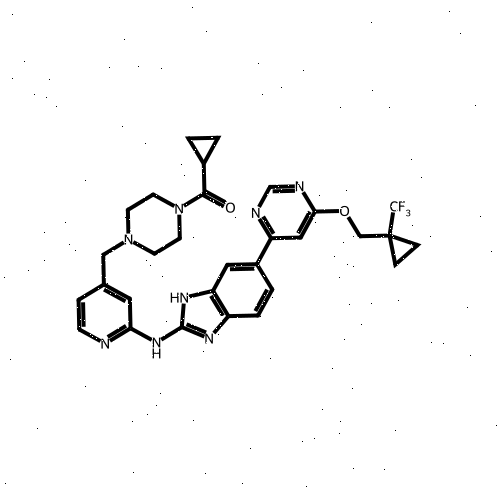 O=C(C1CC1)N1CCN(Cc2ccnc(Nc3nc4ccc(-c5cc(OCC6(C(F)(F)F)CC6)ncn5)cc4[nH]3)c2)CC1